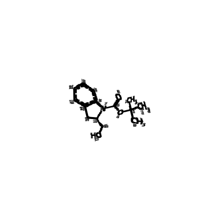 CC(C)(C)OC(=O)N1c2ccccc2C[C@@H]1CO